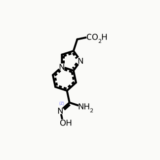 N/C(=N\O)c1ccn2cc(CC(=O)O)nc2c1